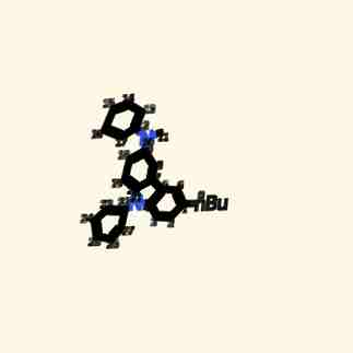 CCCCc1ccc2c(c1)c1cc(N(C)c3ccccc3)ccc1n2-c1ccccc1